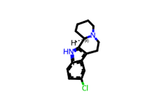 Clc1ccc2[nH]c3c(c2c1)CCN1CCCC[C@H]31